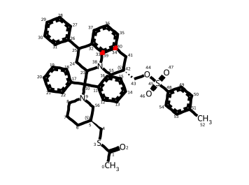 CC(=O)SC[C@H]1CCCN(C(c2ccccc2)(c2ccccc2)C(CC(c2ccccc2)c2ccccc2)N2CCC[C@H](COS(=O)(=O)c3ccc(C)cc3)C2)C1